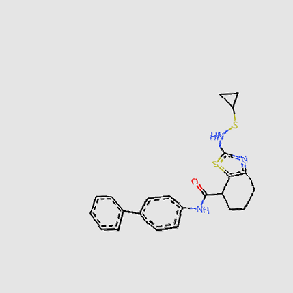 O=C(Nc1ccc(-c2ccccc2)cc1)C1CCCc2nc(NSC3CC3)sc21